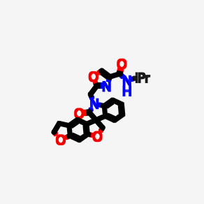 CC(C)NC(=O)c1coc(CN2C(=O)C3(COc4cc5c(cc43)CCO5)c3ccccc32)n1